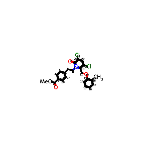 COC(=O)c1ccc(CCn2c(COc3ccccc3C)c(Cl)cc(Cl)c2=O)cc1